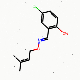 CC(C)=CCON=Cc1cc(Cl)ccc1O